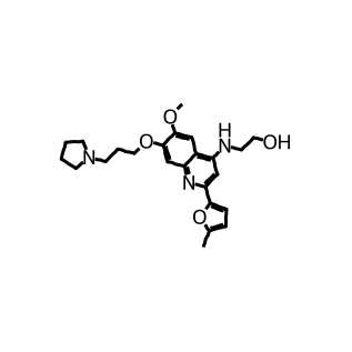 COc1cc2c(NCCO)cc(-c3ccc(C)o3)nc2cc1OCCCN1CCCC1